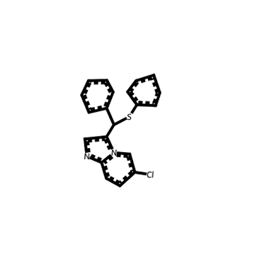 Clc1ccc2ncc(C(Sc3ccccc3)c3ccccc3)n2c1